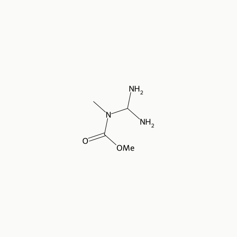 COC(=O)N(C)C(N)N